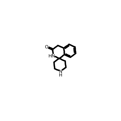 O=C1Cc2ccccc2C2(CCNCC2)N1